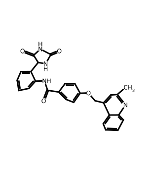 Cc1cc(COc2ccc(C(=O)Nc3ccccc3C3NC(=O)NC3=O)cc2)c2ccccc2n1